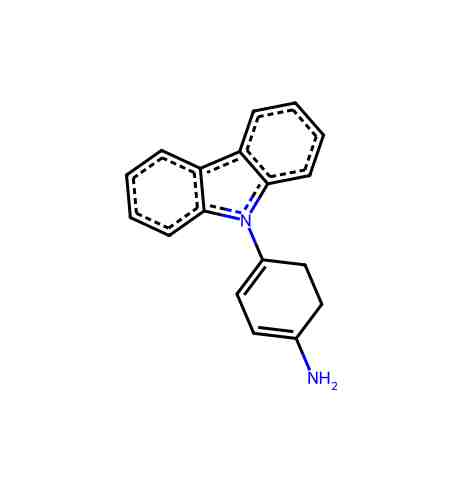 NC1=CC=C(n2c3ccccc3c3ccccc32)CC1